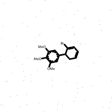 COc1cc(C2CC=CC=C2Br)cc(OC)c1OC